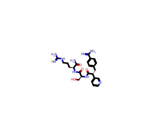 N=C(N)NCCC[C@H](NC(=O)[C@H](CO)NC(=O)[C@H](Cc1ccc(C(=N)N)cc1)c1cccnc1)C(N)=O